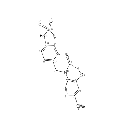 COc1ccc2c(c1)OCC(=O)N2Cc1ccc(NS(=O)(=O)F)cc1